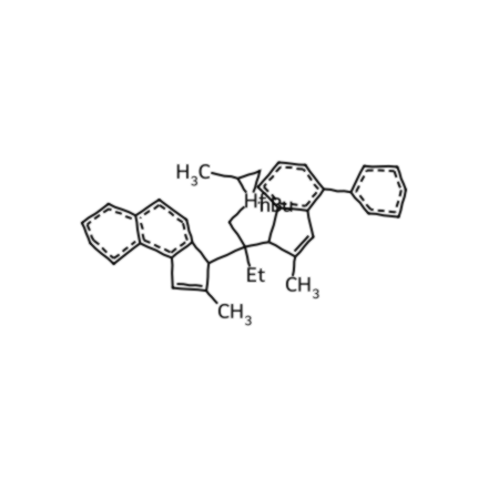 CCC[CH2][Hf]1([CH2]C(CC)(C2C(C)=Cc3c(-c4ccccc4)cccc32)C2C(C)=Cc3c2ccc2ccccc32)[CH2][CH]1C